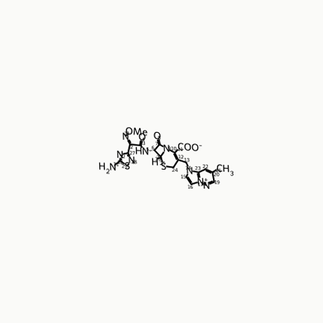 CO/N=C(\C(=O)N[C@@H]1C(=O)N2C(C(=O)[O-])=C(Cn3cc[n+]4ncc(C)cc34)CS[C@H]12)c1nsc(N)n1